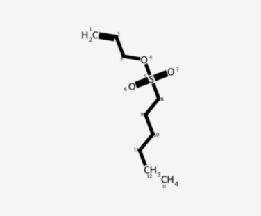 C.C=CCOS(=O)(=O)CCCCC